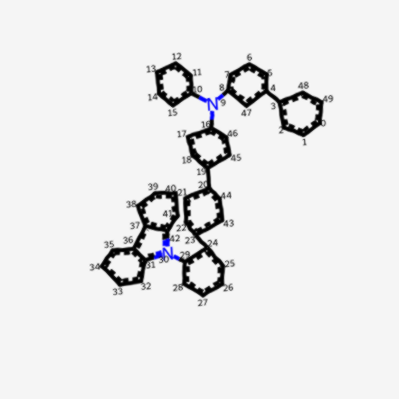 c1ccc(-c2cccc(N(c3ccccc3)c3ccc(-c4ccc(-c5ccccc5-n5c6ccccc6c6ccccc65)cc4)cc3)c2)cc1